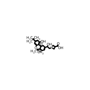 CC(C)(C)c1cc(O)c2c(c1)OC(C)(C)[C@@H]1CC=C(C(O)CN3CC(C(=O)O)C3)C[C@@H]21